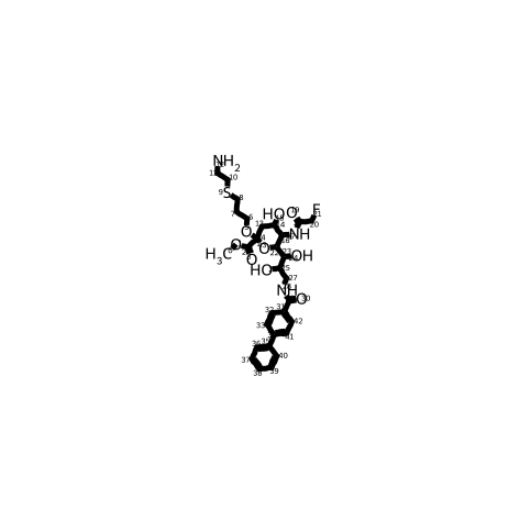 COC(=O)C1(OCCCSCCN)CC(O)C(NC(=O)CF)C(C(O)C(O)CNC(=O)c2ccc(-c3ccccc3)cc2)O1